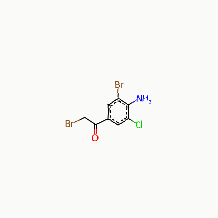 Nc1c(Cl)cc(C(=O)CBr)cc1Br